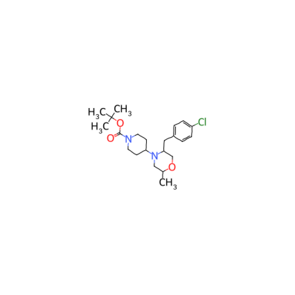 CC1CN(C2CCN(C(=O)OC(C)(C)C)CC2)C(Cc2ccc(Cl)cc2)CO1